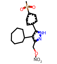 CS(=O)(=O)c1ccc(-c2[nH]nc(CO[N+](=O)[O-])c2C2CCCCCC2)cc1